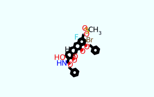 CS(=O)OCc1c(F)c2c(c(OCc3ccccc3)c1Br)C(=O)C1=C3O[C@]34C(=O)C(C(=N)OCc3ccccc3)=C(O)C[C@@H]4CC1C2